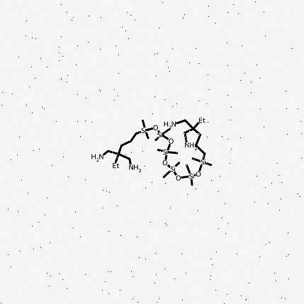 CCC(CN)(CN)CCC[Si](C)(C)O[Si](C)(C)O[Si](C)(C)O[Si](C)(C)O[Si](C)(C)O[Si](C)(C)CCCC(CC)(CN)CN